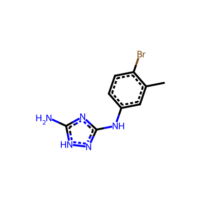 Cc1cc(Nc2n[nH]c(N)n2)ccc1Br